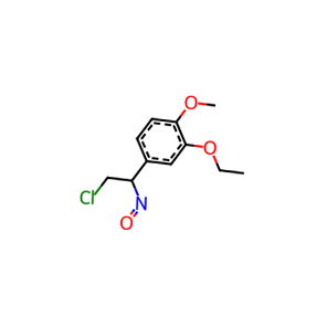 CCOc1cc(C(CCl)N=O)ccc1OC